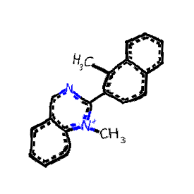 Cc1c(-c2ncc3ccccc3[n+]2C)ccc2ccccc12